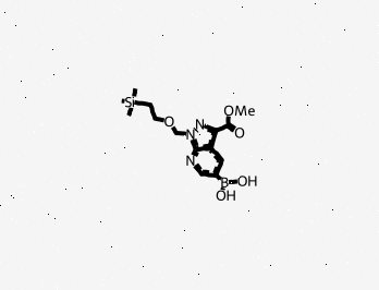 COC(=O)c1nn(COCC[Si](C)(C)C)c2ncc(B(O)O)cc12